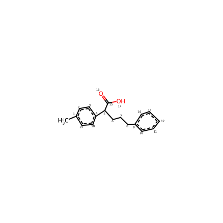 Cc1ccc(C(CCCc2ccccc2)C(=O)O)cc1